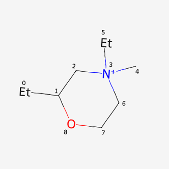 CCC1C[N+](C)(CC)CCO1